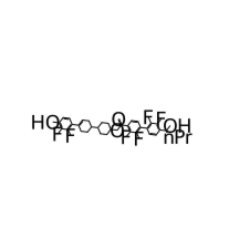 CCCC(O)c1ccc(-c2ccc(C(=O)OC3CCC(C4CC=C(c5ccc(O)c(F)c5F)CC4)CC3)c(F)c2F)c(F)c1F